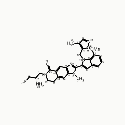 COc1cccc2cc(-c3nc4cc5c(cc4n3C)CCN(C[C@H](N)CF)C5=O)n(Cc3oncc3C)c12